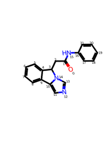 O=C(CC1c2ccccc2-c2cncn21)Nc1ccccc1